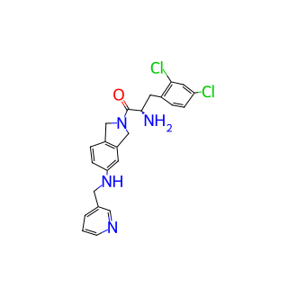 N[C@H](Cc1ccc(Cl)cc1Cl)C(=O)N1Cc2ccc(NCc3cccnc3)cc2C1